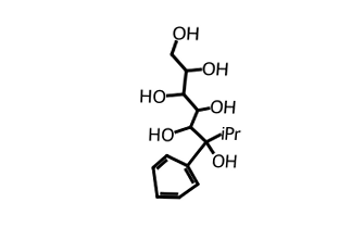 CC(C)C(O)(c1ccccc1)C(O)C(O)C(O)C(O)CO